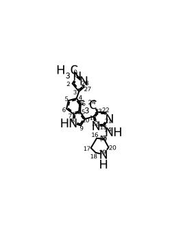 Cn1cc(-c2ccc3[nH]cc(-c4nc(N[C@H]5CCCNC5)ncc4C(F)(F)F)c3c2)cn1